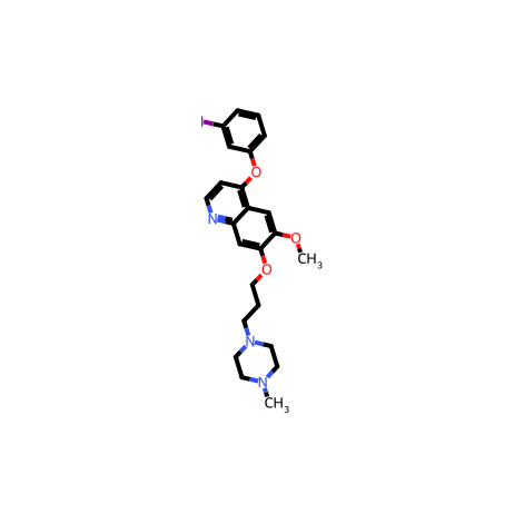 COc1cc2c(Oc3cccc(I)c3)ccnc2cc1OCCCN1CCN(C)CC1